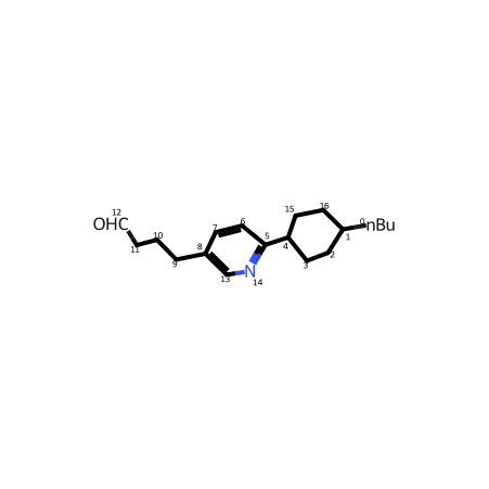 CCCCC1CCC(c2ccc(CCCC=O)cn2)CC1